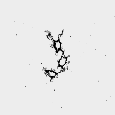 CCOc1cc(CN2CCC(Nc3ccnc(Cl)n3)CC2)ccc1OC